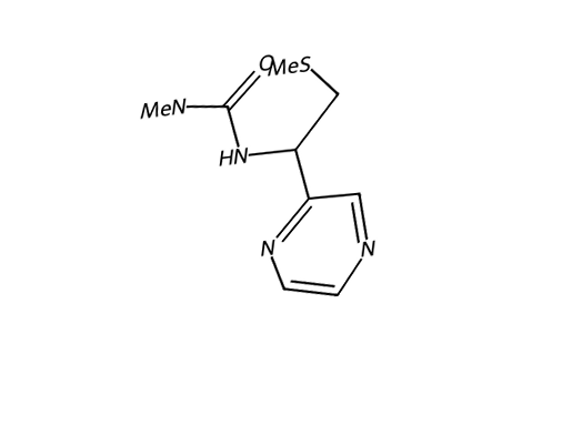 CNC(=O)NC(CSC)c1cnccn1